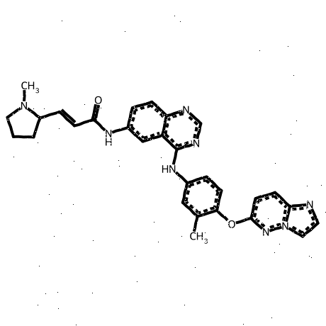 Cc1cc(Nc2ncnc3ccc(NC(=O)C=CC4CCCN4C)cc23)ccc1Oc1ccc2nccn2n1